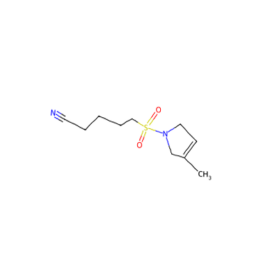 CC1=CCN(S(=O)(=O)CCCCC#N)C1